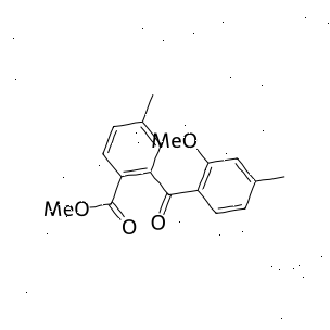 COC(=O)c1ccc(C)cc1C(=O)c1ccc(C)cc1OC